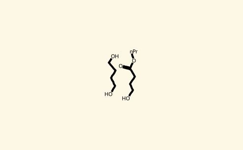 CCCOC(=O)CCCO.OCCCCO